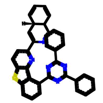 C1=CC2C=NC(c3ccc4sc5cccc(-c6nc(-c7ccccc7)nc(-c7ccccc7)n6)c5c4n3)=C[C@H]2C=C1